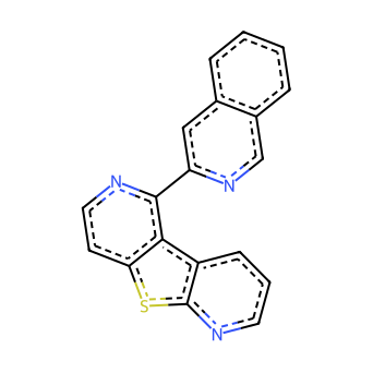 c1ccc2cc(-c3nccc4sc5ncccc5c34)ncc2c1